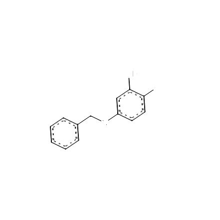 Cc1ccc(NCc2ccccc2)cc1O